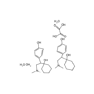 CN(C)CC(c1ccc(O)cc1)C1(O)CCCCC1.CN(C)CC(c1ccc(O)cc1)C1(O)CCCCC1.O.O.O.O=C(O)C(=O)O